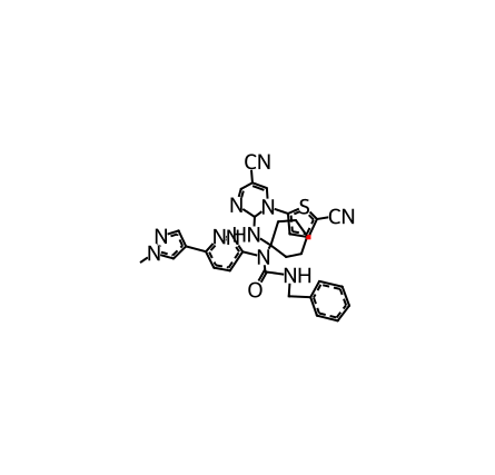 Cn1cc(-c2ccc(N(C(=O)NCc3ccccc3)C3(NC4N=CC(C#N)=CN4c4ccc(C#N)s4)CCCCC3)nn2)cn1